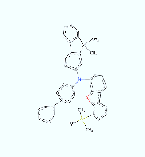 CC1(C)c2ccccc2-c2ccc(N(c3ccc(-c4ccccc4)cc3)c3cccc4c3oc3c(S(C)(C)C)cccc34)cc21